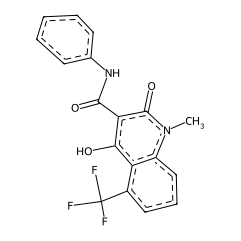 Cn1c(=O)c(C(=O)Nc2ccccc2)c(O)c2c(C(F)(F)F)cccc21